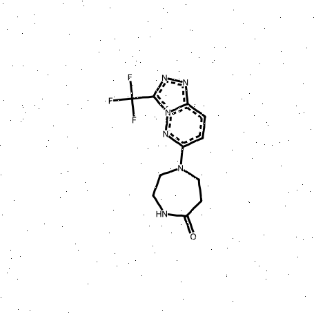 O=C1CCN(c2ccc3nnc(C(F)(F)F)n3n2)CCN1